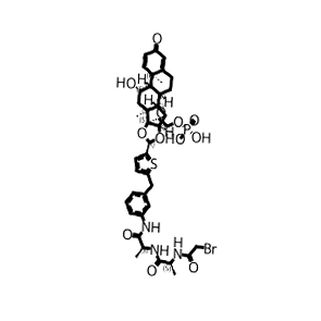 C[C@H](NC(=O)CBr)C(=O)N[C@@H](C)C(=O)Nc1cccc(Cc2ccc([C@@H]3O[C@@H]4C[C@H]5[C@@H]6CCC7=CC(=O)C=C[C@]7(C)[C@H]6[C@@H](O)C[C@]5(C)[C@]4(C(=O)COP(=O)(O)O)O3)s2)c1